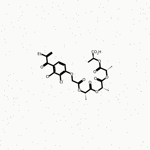 C=C(CC)C(=O)c1ccc(OCC(=O)O[C@@H](C)C(=O)O[C@@H](C)C(=O)O[C@@H](C)C(=O)O[C@@H](C)C(=O)O)c(Cl)c1Cl